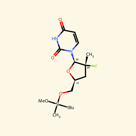 CO[Si](C)(OC[C@@H]1C[C@@](C)(F)[C@H](n2ccc(=O)[nH]c2=O)O1)C(C)(C)C